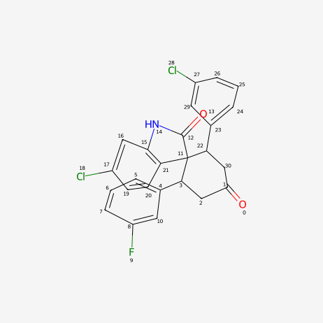 O=C1CC(c2cccc(F)c2)C2(C(=O)Nc3cc(Cl)ccc32)C(c2cccc(Cl)c2)C1